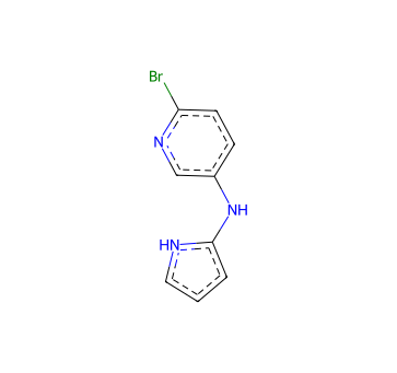 Brc1ccc(Nc2ccc[nH]2)cn1